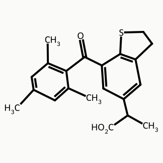 Cc1cc(C)c(C(=O)c2cc(C(C)C(=O)O)cc3c2SCC3)c(C)c1